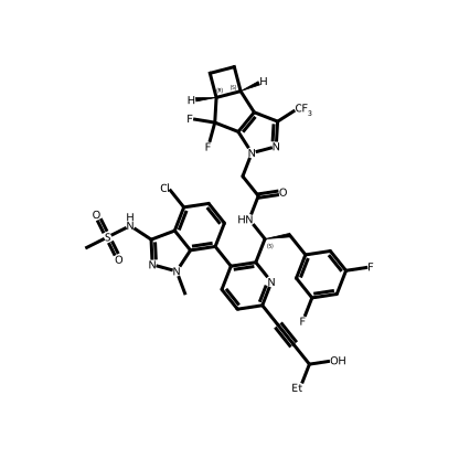 CCC(O)C#Cc1ccc(-c2ccc(Cl)c3c(NS(C)(=O)=O)nn(C)c23)c([C@H](Cc2cc(F)cc(F)c2)NC(=O)Cn2nc(C(F)(F)F)c3c2C(F)(F)[C@@H]2CC[C@H]32)n1